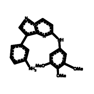 COc1cc(Nc2ccn3ncc(-c4cccc(N)c4)c3n2)cc(OC)c1OC